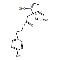 C/C=C(/C=O)[C@@](N)(/C=C\OC)CC(=O)OCCc1ccc(O)cc1